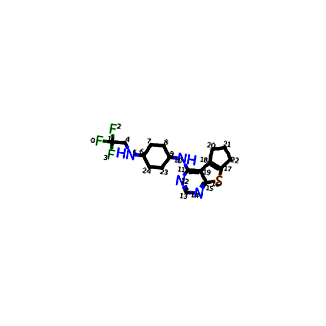 FC(F)(F)CNC1CCC(Nc2ncnc3sc4c(c23)CCC4)CC1